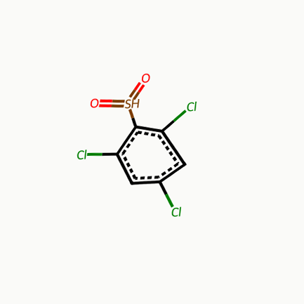 O=[SH](=O)c1c(Cl)cc(Cl)cc1Cl